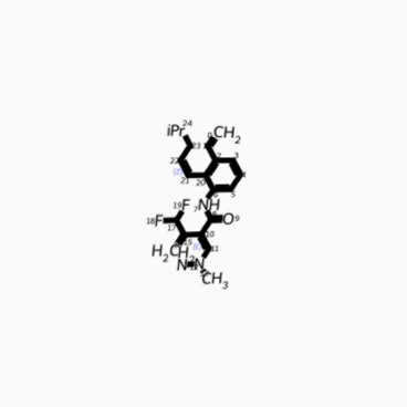 C=Cc1cccc(NC(=O)/C(=C/N(C)N)C(=C)C(F)F)c1/C=C\CC(C)C